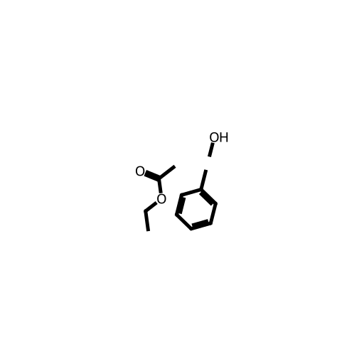 CCOC(C)=O.CO.Cc1ccccc1